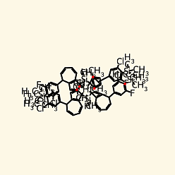 CC1=CC2=C(C=CC=CC2c2cc(F)c([Si](C)(C)C)c(Cl)c2)[C]12[SiH](C)[C]1(C(C)=CC3=C1C=CC=CC3c1cc(F)c([Si](C)(C)C)c(Cl)c1)[Hf]21([Cl])([Cl])[C]2(C(C)=CC3=C2C=CC=CC3c2cc(F)c([Si](C)(C)C)c(Cl)c2)[SiH](C)[C]12C(C)=CC1=C2C=CC=CC1c1cc(F)c([Si](C)(C)C)c(Cl)c1